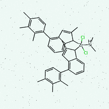 CC1=Cc2c(-c3ccc(C)c(C)c3C)cccc2[CH]1[Zr]([Cl])([Cl])([CH]1C(C)=Cc2c(-c3ccc(C)c(C)c3C)cccc21)[SiH](C)C